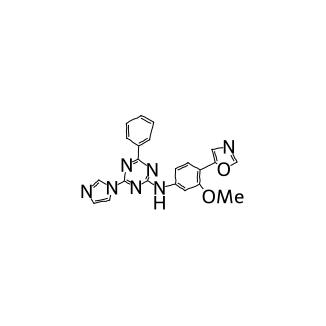 COc1cc(Nc2nc(-c3ccccc3)nc(-n3ccnc3)n2)ccc1-c1cnco1